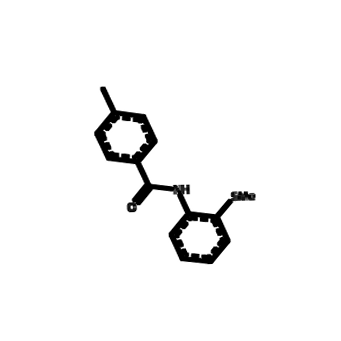 CSc1ccccc1NC(=O)c1ccc(C)cc1